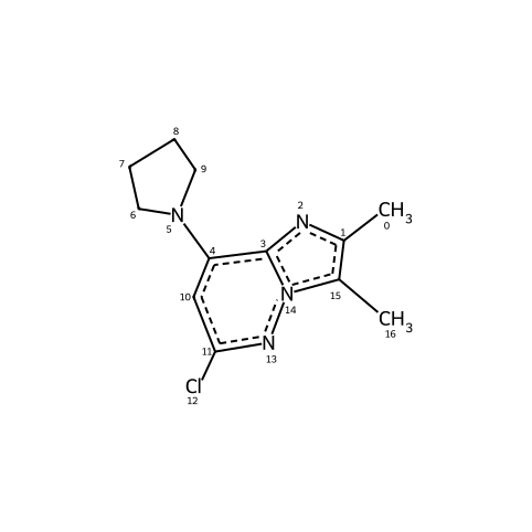 Cc1nc2c(N3CCCC3)cc(Cl)nn2c1C